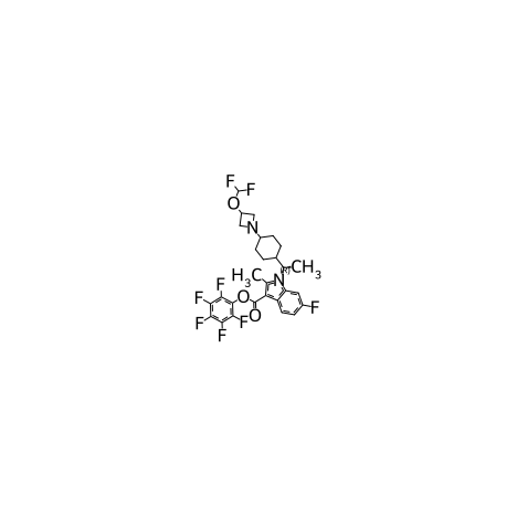 Cc1c(C(=O)Oc2c(F)c(F)c(F)c(F)c2F)c2ccc(F)cc2n1[C@H](C)C1CCC(N2CC(OC(F)F)C2)CC1